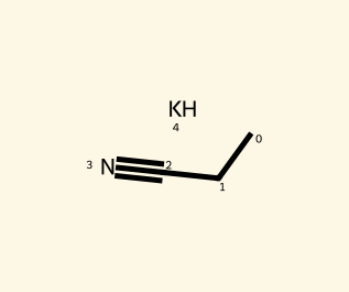 CCC#N.[KH]